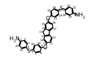 Nc1ccc(Sc2ccc(Oc3ccc4c(c3)Cc3cc(Oc5ccc(Sc6ccc(N)cc6)cc5)ccc3-4)cc2)cc1